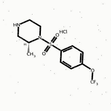 C[C@@H]1CNCCN1S(=O)(=O)c1ccc(OC(F)(F)F)cc1.Cl